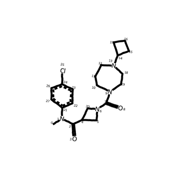 CN(C(=O)C1CN(C(=O)N2CCCN(C3CCC3)CC2)C1)c1ccc(Cl)cc1